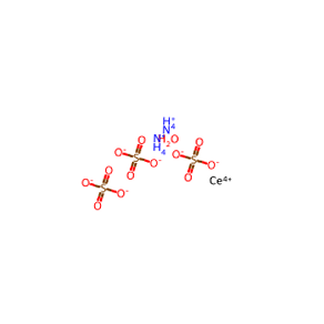 O.O=S(=O)([O-])[O-].O=S(=O)([O-])[O-].O=S(=O)([O-])[O-].[Ce+4].[NH4+].[NH4+]